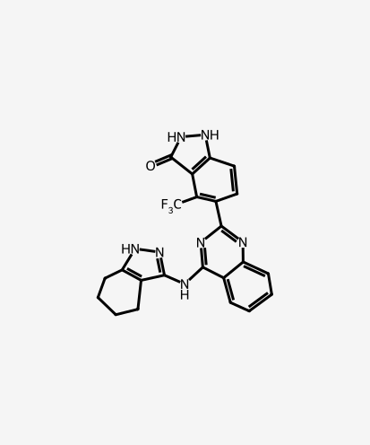 O=c1[nH][nH]c2ccc(-c3nc(Nc4n[nH]c5c4CCCC5)c4ccccc4n3)c(C(F)(F)F)c12